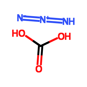 O=C(O)O.[N-]=[N+]=N